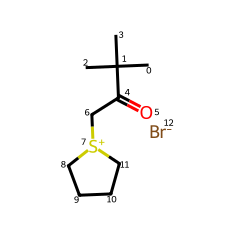 CC(C)(C)C(=O)C[S+]1CCCC1.[Br-]